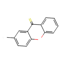 CCc1ccc2oc3ccccc3c(=S)c2c1